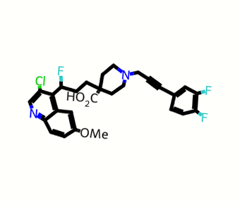 COc1ccc2ncc(Cl)c(C(F)CCC3(C(=O)O)CCN(CC#Cc4ccc(F)c(F)c4)CC3)c2c1